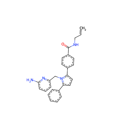 C=CCNC(=O)c1ccc(-c2ccc(-c3ccccc3)n2Cc2cccc(N)n2)cc1